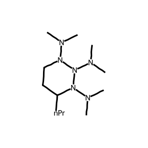 CCCC1CCN(N(C)C)N(N(C)C)N1N(C)C